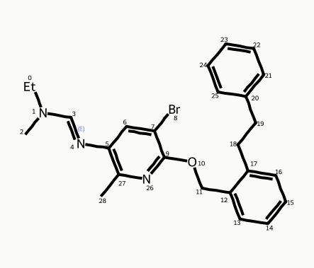 CCN(C)/C=N/c1cc(Br)c(OCc2ccccc2CCc2ccccc2)nc1C